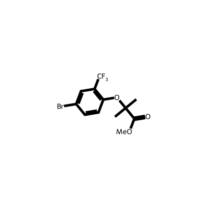 COC(=O)C(C)(C)Oc1ccc(Br)cc1C(F)(F)F